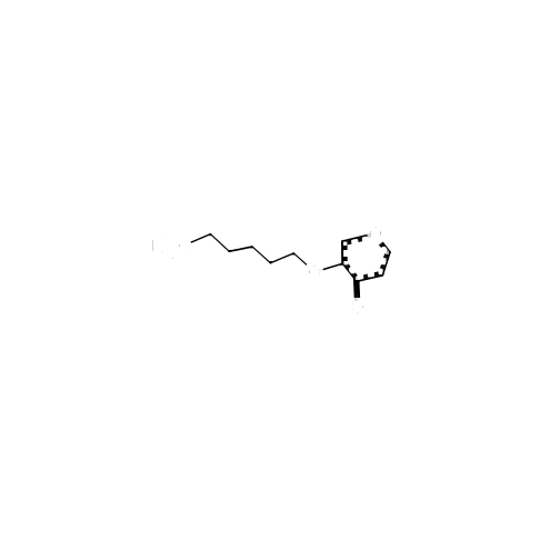 O=C(O)CCCCCOc1co[c]cc1=O